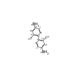 Bc1ccc(-c2ccc(B)cc2I)c(I)c1